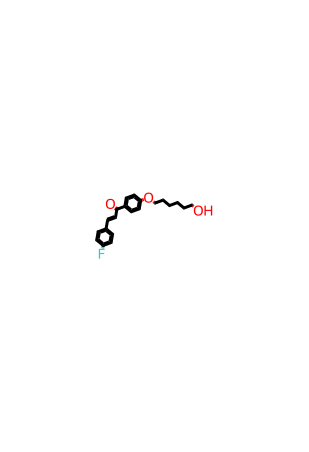 O=C(C=Cc1ccc(F)cc1)c1ccc(OCCCCCCO)cc1